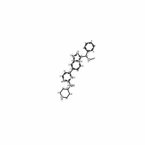 COC(c1ccccc1)c1nnc2cc(-c3ccnc(NC4CCOCC4)n3)ccn12